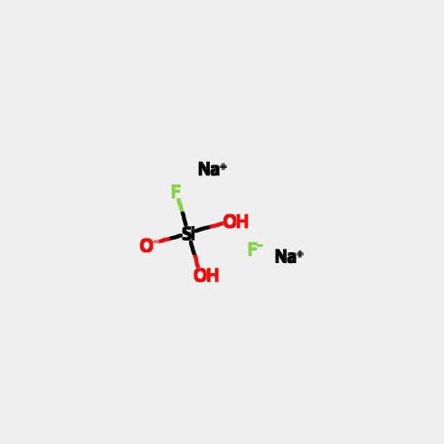 [F-].[Na+].[Na+].[O-][Si](O)(O)F